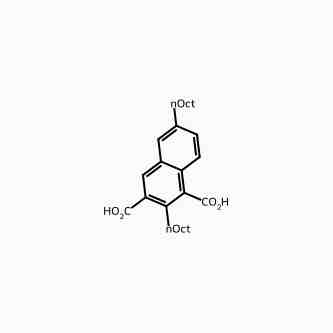 CCCCCCCCc1ccc2c(C(=O)O)c(CCCCCCCC)c(C(=O)O)cc2c1